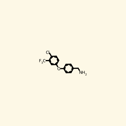 NCc1ccc(Oc2ccc(Cl)c(C(F)(F)F)c2)cc1